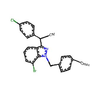 COc1ccc(Cn2nc(C(C#N)c3ccc(Cl)cc3)c3cccc(Br)c32)cc1